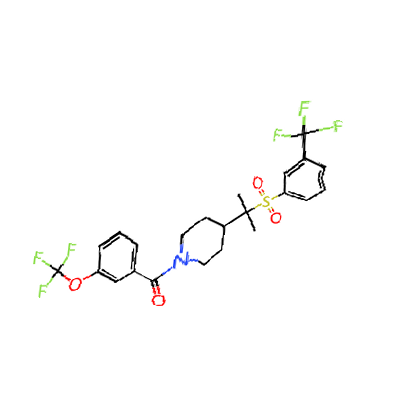 CC(C)(C1CCN(C(=O)c2cccc(OC(F)(F)F)c2)CC1)S(=O)(=O)c1cccc(C(F)(F)F)c1